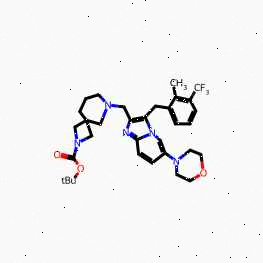 Cc1c(Cc2c(CN3CCCC4(C3)CN(C(=O)OC(C)(C)C)C4)nc3ccc(N4CCOCC4)cn23)cccc1C(F)(F)F